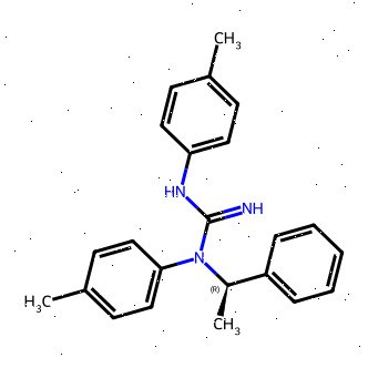 Cc1ccc(NC(=N)N(c2ccc(C)cc2)[C@H](C)c2ccccc2)cc1